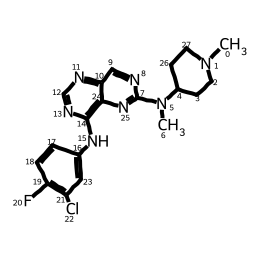 CN1CCC(N(C)c2ncc3ncnc(Nc4ccc(F)c(Cl)c4)c3n2)CC1